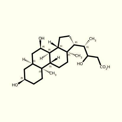 C[C@H](C(O)CC(=O)O)[C@H]1CC[C@H]2[C@@H]3[C@H](O)C[C@@H]4C[C@H](O)CC[C@]4(C)[C@H]3CC[C@]12C